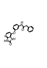 O=C(Cc1ccccc1)Nc1cccc(Oc2ccnc3[nH]c(=O)[nH]c23)c1